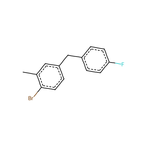 Cc1cc(Cc2ccc(F)cc2)ccc1Br